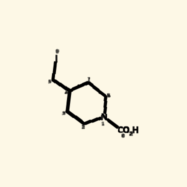 O=C(O)N1CCC(CI)CC1